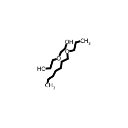 CCCCCCCOCCC.OCCOCCO